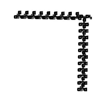 CCO.ClC(Cl)Cl.ClC(Cl)Cl.ClC(Cl)Cl.ClC(Cl)Cl.ClC(Cl)Cl.ClC(Cl)Cl.ClC(Cl)Cl.ClC(Cl)Cl.ClC(Cl)Cl.ClC(Cl)Cl.ClC(Cl)Cl.ClC(Cl)Cl.ClC(Cl)Cl.ClC(Cl)Cl.ClC(Cl)Cl.ClC(Cl)Cl.ClC(Cl)Cl.ClC(Cl)Cl.ClC(Cl)Cl.ClC(Cl)Cl